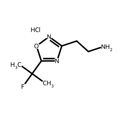 CC(C)(F)c1nc(CCN)no1.Cl